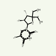 C[C@H]1[C@H](F)C(n2cc(F)c(=O)[nH]c2=O)OC1(CO)CO